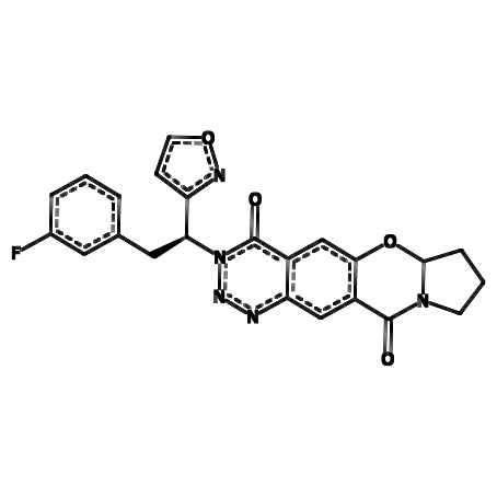 O=C1c2cc3nnn([C@@H](Cc4cccc(F)c4)c4ccon4)c(=O)c3cc2OC2CCCN12